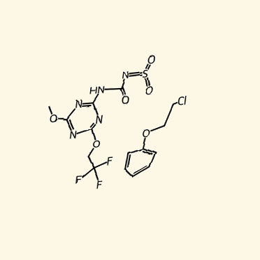 COc1nc(NC(=O)N=S(=O)=O)nc(OCC(F)(F)F)n1.ClCCOc1ccccc1